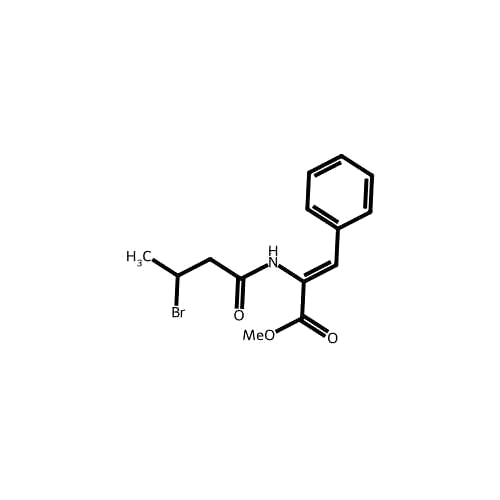 COC(=O)C(=Cc1ccccc1)NC(=O)CC(C)Br